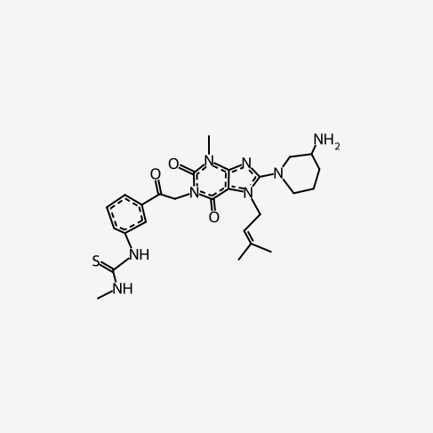 CNC(=S)Nc1cccc(C(=O)Cn2c(=O)c3c(nc(N4CCCC(N)C4)n3CC=C(C)C)n(C)c2=O)c1